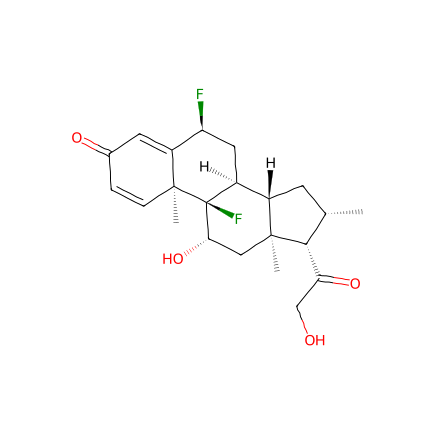 C[C@H]1C[C@H]2[C@@H]3C[C@H](F)C4=CC(=O)C=C[C@]4(C)[C@@]3(F)[C@@H](O)C[C@]2(C)[C@H]1C(=O)CO